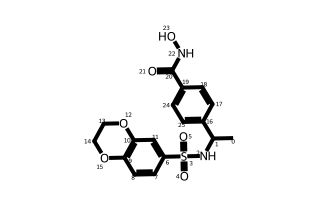 CC(NS(=O)(=O)c1ccc2c(c1)OCCO2)c1ccc(C(=O)NO)cc1